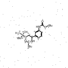 CC(C)(C)OC(=O)Nc1ccnc(C(CO[Si](C)(C)C(C)(C)C)N[S+]([O-])C(C)(C)C)c1